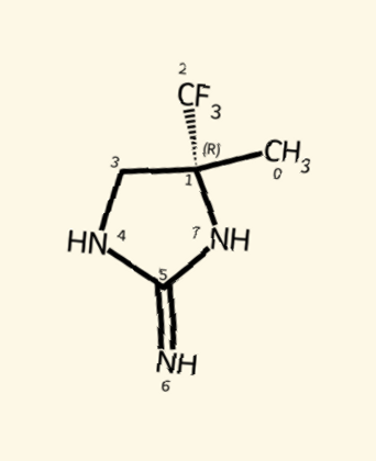 C[C@]1(C(F)(F)F)CNC(=N)N1